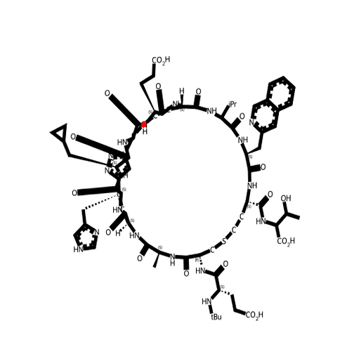 CC(C)C1NC(=O)[C@@H]2CCCCn3cc(nn3)CC[C@H](NC(=O)[C@H](C)NC(=O)[C@@H](NC(=O)[C@H](CCC(=O)O)NC(C)(C)C)CSCC[C@@H](C(=O)NC(C(=O)O)C(C)O)NC(=O)[C@H](Cc3cc4ccccc4cn3)NC1=O)C(=O)N[C@@H](Cc1c[nH]cn1)C(=O)N[C@@H](CC1CC1)C(=O)NCC(=O)N[C@@H](CCC(=O)O)C(=O)N2